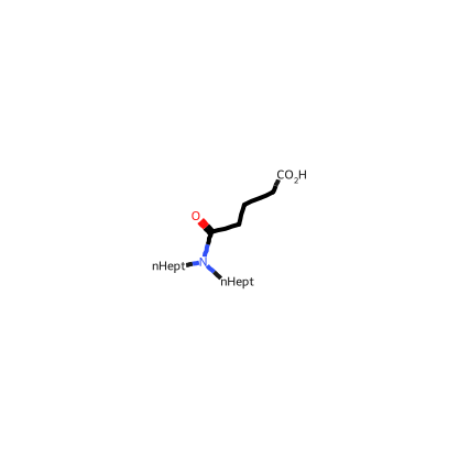 CCCCCCCN(CCCCCCC)C(=O)CCCC(=O)O